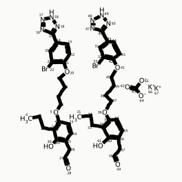 CCCc1c(OCCCCOc2ccc(-c3nn[nH]n3)cc2Br)ccc(CC=O)c1O.CCCc1c(OCCCCOc2ccc(-c3nn[nH]n3)cc2Br)ccc(CC=O)c1O.O=C([O-])[O-].[K+].[K+]